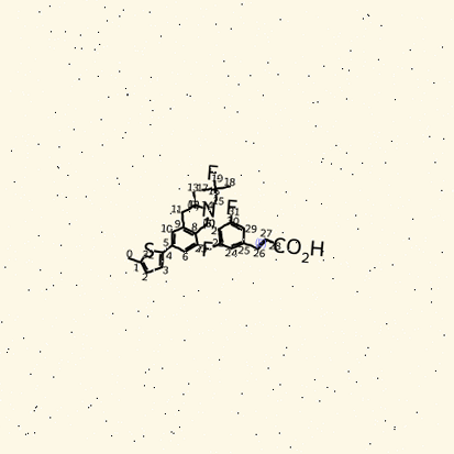 Cc1ccc(-c2ccc3c(c2)C[C@@H](C)N(CC(C)(C)F)[C@@H]3c2c(F)cc(/C=C/C(=O)O)cc2F)s1